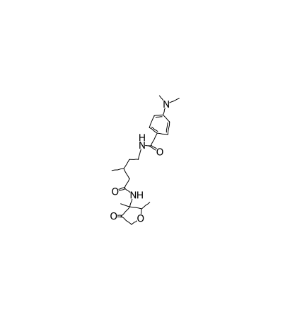 CC(CCNC(=O)c1ccc(N(C)C)cc1)CC(=O)NC1(C)C(=O)COC1C